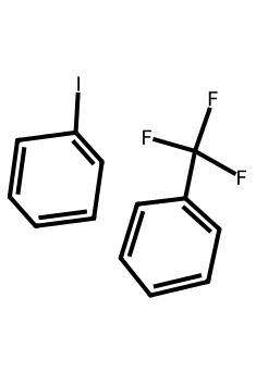 FC(F)(F)c1ccccc1.Ic1ccccc1